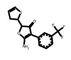 NC1=C(c2cccc(C(F)(F)F)c2)C(=O)C(C2CC=CS2)O1